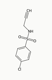 C#CCNS(=O)(=O)c1ccc(Cl)cc1